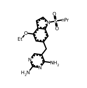 CCCS(=O)(=O)n1ccc2c(OCC)cc(Cc3cnc(N)nc3N)cc21